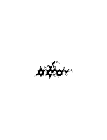 CCn1nc(-c2cccc(NC(C)=O)c2)c2c(c(Nc3ccc(I)cc3F)c(F)c(=O)n2C)c1=O